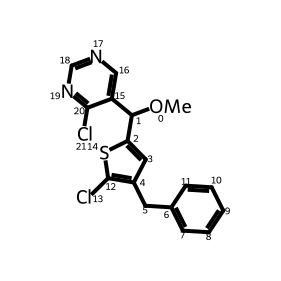 COC(c1cc(Cc2ccccc2)c(Cl)s1)c1cncnc1Cl